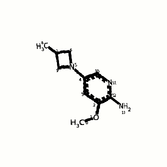 COc1cc(N2CC(C)C2)cnc1N